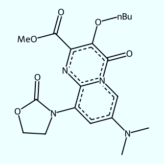 CCCCOc1c(C(=O)OC)nc2c(N3CCOC3=O)cc(N(C)C)cn2c1=O